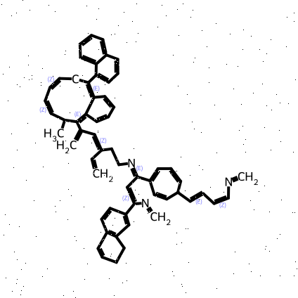 C=C/C(=C\C(=C)/C1=c2\cccc\c2=C(/c2cccc3ccccc23)C/C=C\C=C/C1C)CC/N=C(\C=C(/N=C)c1ccc2c(c1)CCC=C2)C1=CC=CC(/C=C/C=C\N=C)C=C1